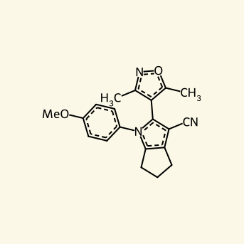 COc1ccc(-n2c3c(c(C#N)c2-c2c(C)noc2C)CCC3)cc1